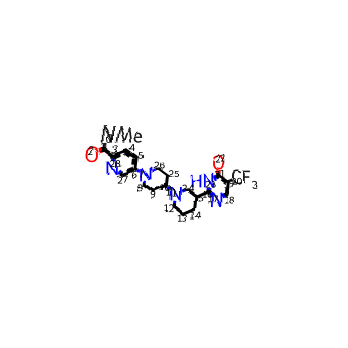 CNC(=O)c1ccc(N2CCC(N3CCCC(c4ncc(C(F)(F)F)c(=O)[nH]4)C3)CC2)cn1